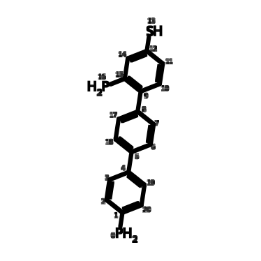 Pc1ccc(-c2ccc(-c3ccc(S)cc3P)cc2)cc1